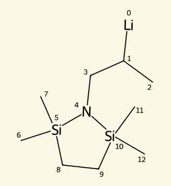 [Li][CH](C)CN1[Si](C)(C)CC[Si]1(C)C